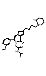 COc1cccc(-c2cn3cc(CCCCN4CCCCC4C)cc3c(=O)n2CC(=O)NC(C)C)c1